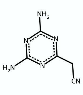 N#CCc1nc(N)nc(N)n1